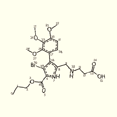 CCCOC(=O)c1[nH]c(CNCCC(=O)O)c(-c2ccc(OC)c(OC)c2OC)c1Br